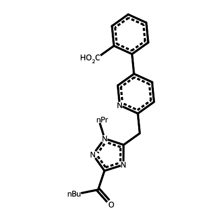 CCCCC(=O)c1nc(Cc2ccc(-c3ccccc3C(=O)O)cn2)n(CCC)n1